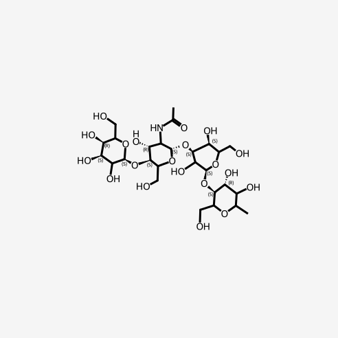 CC(=O)NC1[C@H](O[C@@H]2C(O)[C@H](O[C@@H]3C(CO)OC(C)C(O)[C@H]3O)OC(CO)[C@@H]2O)OC(CO)[C@@H](O[C@@H]2OC(CO)[C@H](O)[C@H](O)C2O)[C@@H]1O